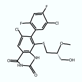 CO[C@H](CO)CSc1c(-c2cc(Cl)c(F)cc2F)c(Cl)cc2c(=O)[nH]c(=O)[nH]c12